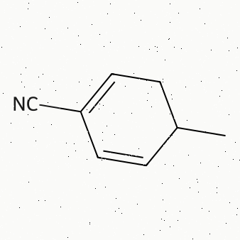 CC1C=CC(C#N)=CC1